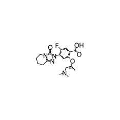 C[C@@H](CN(C)C)Oc1cc(-n2nc3n(c2=O)CCCC3)c(F)cc1C(=O)O